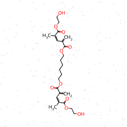 C=C(C=C(C)C(=O)OCCO)C(=O)OCCCCCCOC(=O)C(=C)C=C(C)C(=O)OCCO